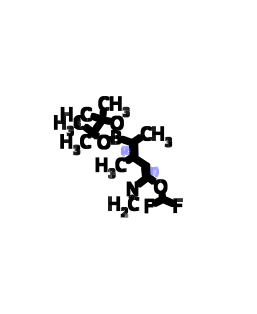 C=N/C(=C\C(C)=C(/C)B1OC(C)(C)C(C)(C)O1)OC(F)F